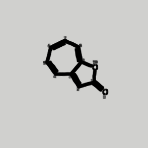 O=c1cc2cccccc-2o1